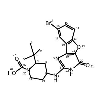 CC(C)(C)C1CC(Nc2nc3c(oc4ccc(Br)cc43)c(=O)[nH]2)CCN1C(=O)O